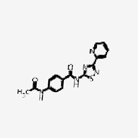 CC(=O)Nc1ccc(C(=O)Nc2nc(-c3ccccn3)ns2)cc1